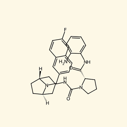 Nc1ccccc1NC(=O)[C@@H]1CCCN1C(=O)NC1C[C@H]2CC[C@H](C1)N2Cc1ccc2cc(F)ccc2c1